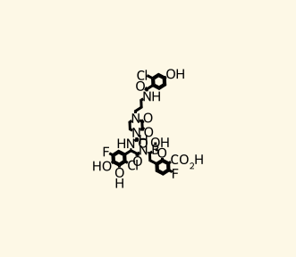 O=C(NCCCN1CCN(C(=O)N[C@@H](C(=O)N[C@H]2Cc3ccc(F)c(C(=O)O)c3OB2O)c2cc(F)c(O)c(O)c2Cl)C(=O)C1=O)c1ccc(O)cc1Cl